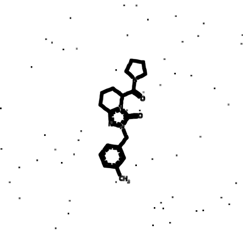 Cc1cccc(Cn2nc3n(c2=O)C(C(=O)N2CCCC2)CCC3)c1